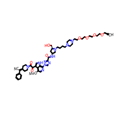 C#CCOCCOCCOCCOCCN1CCN(CCCCN2C[C@@H](NC(=O)c3ncn(-c4ncc(OC)c5c(C(=O)C(=O)N6CCC(=C(C#N)c7ccccc7)CC6)c[nH]c45)n3)C[C@H]2CO)CC1